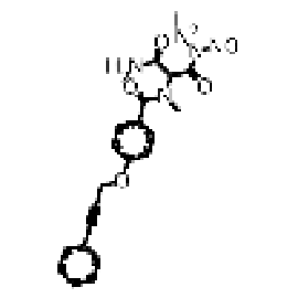 CN(C(=O)c1ccc(OCC#Cc2ccccc2)cc1)C(C(N)=O)C(=O)N(N)N=O